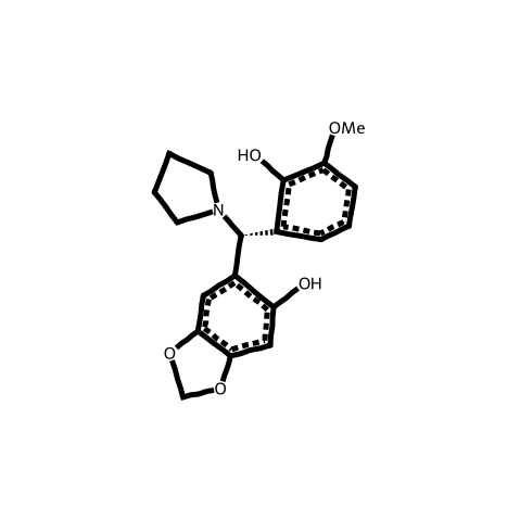 COc1cccc([C@H](c2cc3c(cc2O)OCO3)N2CCCC2)c1O